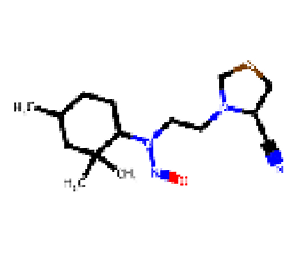 CC1CCC(N(CCN2CSCC2C#N)N=O)C(C)(C)C1